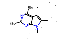 Cc1cc2c(C(C)(C)C)nc(C(C)(C)C)nc2n1C